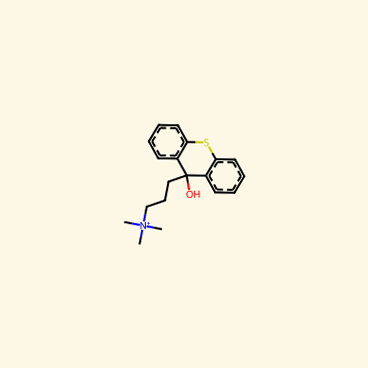 C[N+](C)(C)CCCC1(O)c2ccccc2Sc2ccccc21